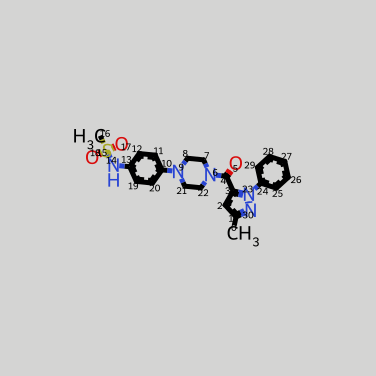 Cc1cc(C(=O)N2CCN(c3ccc(NS(C)(=O)=O)cc3)CC2)n(-c2ccccc2)n1